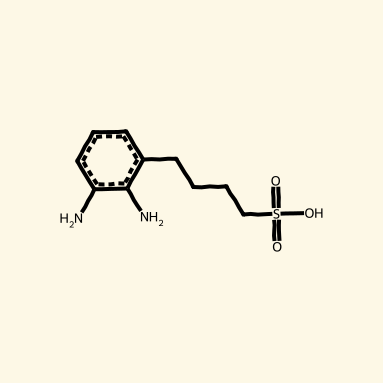 Nc1cccc(CCCCS(=O)(=O)O)c1N